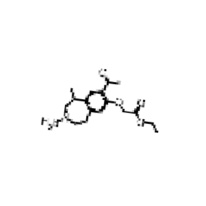 BN1CCc2cc(OCC(=O)OCC)c(C(C)=O)cc2C(C)C1